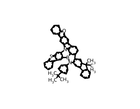 CC(C)(C)c1ccc(N2B3c4cc5c(cc4-n4c6cc7c(cc6c6ccc(c3c64)-c3cc4c(cc32)-c2ccccc2C4(C)C)oc2ccccc27)sc2ccccc25)cc1